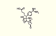 N=C(N)c1ccc(C(CCCC(=O)O)C(N)(C(=O)O)C(=O)C(N)CC=O)cc1